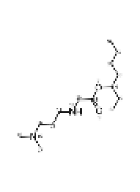 CCCCC(CC)OC(=O)CNCCCN(C)C